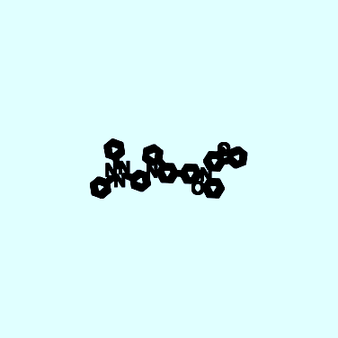 c1ccc(-c2nc(-c3ccccc3)nc(-c3cccc(-n4c5ccccc5c5cc(-c6ccc7c(c6)Oc6ccccc6N7c6ccc7oc8ccccc8c7c6)ccc54)c3)n2)cc1